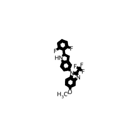 COc1ccc2c(c1)nc(C(F)(F)F)n2-c1ccc2c(c1)CC(c1c(F)cccc1F)N2